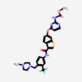 COC(=O)Nc1nccc(Oc2ccc3c(C(=O)Nc4ccc(CN5CCN(C)CC5)c(C(F)(F)F)c4)csc3c2)n1